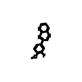 COc1ccc(-c2cnc3cccnc3n2)cc1F